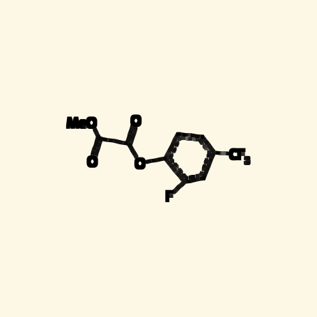 COC(=O)C(=O)Oc1ccc(C(F)(F)F)cc1F